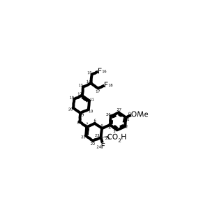 COc1ccc(C2CC(CC3CC=C(CC(CF)CF)CC3)=CC[C@@]2(F)C(=O)O)cc1